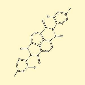 Cc1cnc(N2C(=O)c3ccc4c5c(ccc(c35)C2=O)C(=O)N(c2ncc(C)cc2Br)C4=O)c(Br)c1